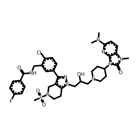 CN(C)c1ccc2c(n1)n(C1CCN(CC(O)Cn3nc(-c4ccc(Cl)c(CNC(=O)c5ccc(F)cc5)c4)c4c3CCN(S(C)(=O)=O)C4)CC1)c(=O)n2C